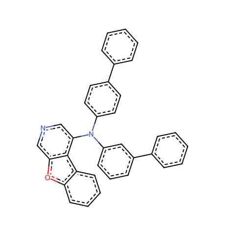 c1ccc(-c2ccc(N(c3cccc(-c4ccccc4)c3)c3cncc4oc5ccccc5c34)cc2)cc1